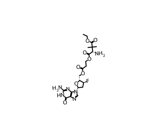 CCOC(=O)C(C)(C)[C@H](N)C(=O)OCCC(=O)OC[C@H]1O[C@@H](n2cnc3c(=O)[nH]c(N)nc32)C[C@@H]1F